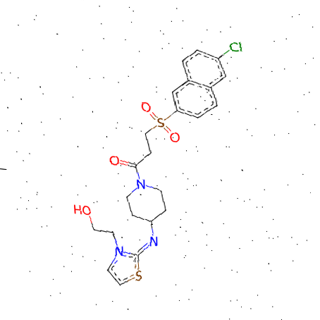 O=C(CCS(=O)(=O)c1ccc2cc(Cl)ccc2c1)N1CCC(N=c2sccn2CCO)CC1